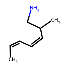 C/C=C\C=C/C(C)CN